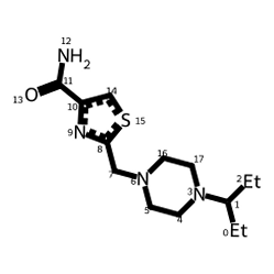 CCC(CC)N1CCN(Cc2nc(C(N)=O)cs2)CC1